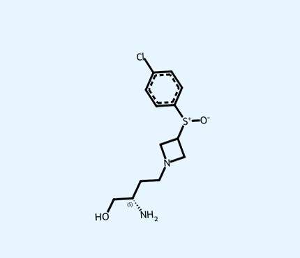 N[C@H](CO)CCN1CC([S+]([O-])c2ccc(Cl)cc2)C1